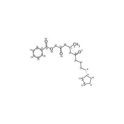 CC(CC(=O)CCCC[C@@H]1CCSS1)CC(=O)COC(=O)c1ccccc1